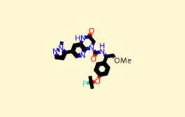 COCC(NC(=O)N1CC(=O)Nc2cc(-c3ccnn3C)cnc21)c1ccc(OC(C)(C)F)cc1